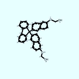 OCOc1ccc2cc(C3(c4ccc5cc(OCO)ccc5c4)c4ccccc4-c4ccccc43)ccc2c1